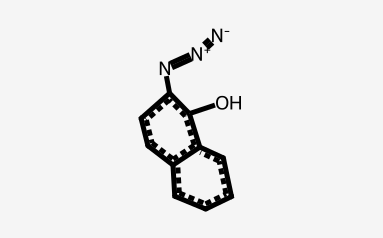 [N-]=[N+]=Nc1ccc2ccccc2c1O